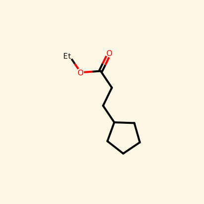 [CH2]COC(=O)CCC1CCCC1